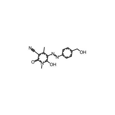 Cc1c(/N=N/c2ccc(CO)cc2)c(O)n(C)c(=O)c1C#N